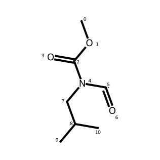 COC(=O)N([C]=O)CC(C)C